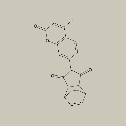 Cc1cc(=O)oc2cc(N3C(=O)C4C5C=CC(CC5)C4C3=O)ccc12